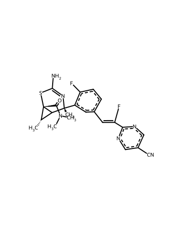 C[C@H]1C2[C@@]1(C(=O)N(C)C)SC(N)=N[C@]2(C)c1cc(/C=C(\F)c2ncc(C#N)cn2)ccc1F